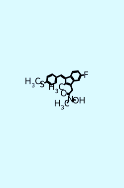 CSc1ccc(C=C2C(C)=C(CC(=O)N(C)O)c3cc(F)ccc32)cc1